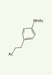 CC(=O)CCc1ccc(NC(C)=O)cc1